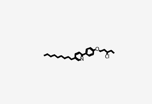 CCCCCCCCCc1ccc(-c2ccc(OCCC(Cl)CC)cc2)nc1